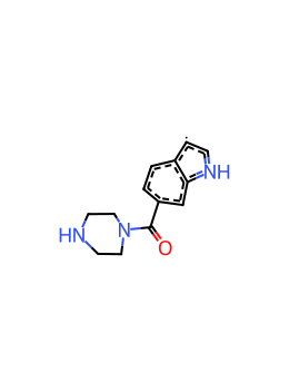 O=C(c1ccc2[c]c[nH]c2c1)N1CCNCC1